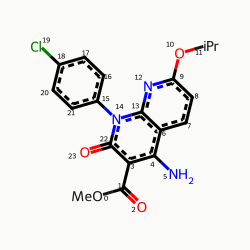 COC(=O)c1c(N)c2ccc(OC(C)C)nc2n(-c2ccc(Cl)cc2)c1=O